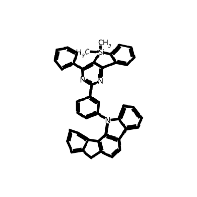 C[Si]1(C)c2ccccc2-c2nc(-c3cccc(-n4c5ccccc5c5ccc6c(c54)-c4ccccc4C6)c3)nc(-c3ccccc3)c21